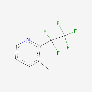 Cc1cccnc1C(F)(F)C(F)(F)F